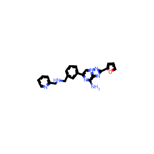 Nc1nc(-c2cccc(CNCc3ccccn3)c2)cn2nc(-c3ccco3)nc12